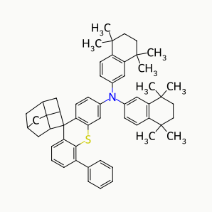 CC1(C)CCC(C)(C)c2cc(N(c3ccc4c(c3)Sc3c(-c5ccccc5)cccc3C43C4CC5CC6CC3C64C5)c3ccc4c(c3)C(C)(C)CCC4(C)C)ccc21